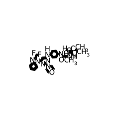 CC(C)(C)OC(=O)NC(C)(C)C(=O)N[C@H]1CC[C@H](Nc2cc(-n3c(C(F)F)nc4ccccc43)nc(N3CCOCC3)n2)CC1